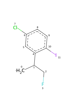 [CH2]C(CF)c1cc(Cl)ccc1I